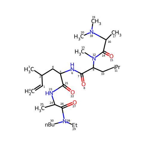 C=CC(C)CC(NC(=O)C(CC(C)C)N(C)C(=O)C(C)N(C)C)C(=O)NC(C)C(=O)N(CC)CCCC